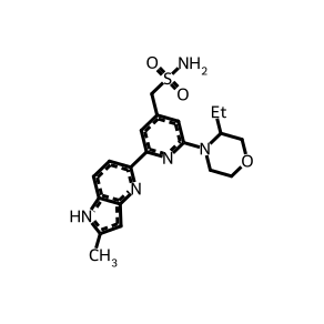 CCC1COCCN1c1cc(CS(N)(=O)=O)cc(-c2ccc3[nH]c(C)cc3n2)n1